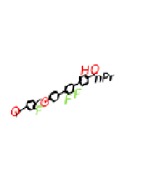 CCCC(O)c1ccc(-c2ccc(-c3ccc(OCc4ccc(C5CO5)cc4F)cc3)c(F)c2F)cc1